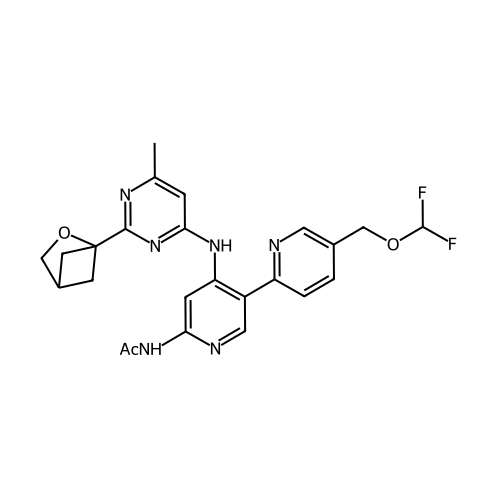 CC(=O)Nc1cc(Nc2cc(C)nc(C34CC(CO3)C4)n2)c(-c2ccc(COC(F)F)cn2)cn1